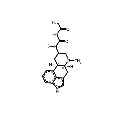 CC(=O)NC(=O)N(S)C1C[C@@H]2c3cccc4[nH]cc(c34)C[C@H]2N(C)C1